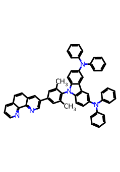 Cc1cc(-c2cnc3c(ccc4cccnc43)c2)cc(C)c1-n1c2ccc(N(c3ccccc3)c3ccccc3)cc2c2cc(N(c3ccccc3)c3ccccc3)ccc21